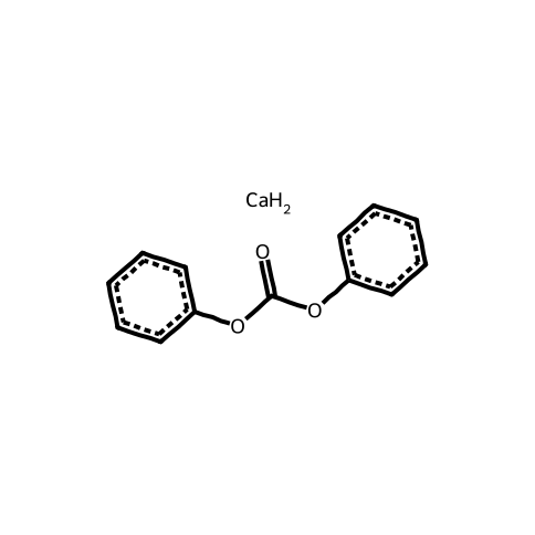 O=C(Oc1ccccc1)Oc1ccccc1.[CaH2]